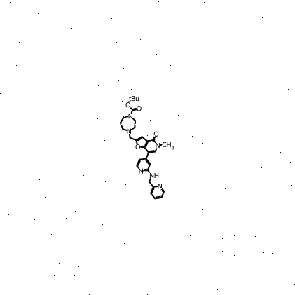 Cn1cc(-c2ccnc(NCc3ccccn3)c2)c2oc(CN3CCCN(C(=O)OC(C)(C)C)CC3)cc2c1=O